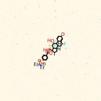 CCN(CC)S(=O)(=O)c1ccc(C(=O)O[C@]2(C(O)=S)[C@H](C)C[C@H]3[C@@H]4C[C@H](F)C5=CC(=O)C=C[C@]5(C)[C@@]4(F)[C@@H](O)C[C@@]32C)cc1